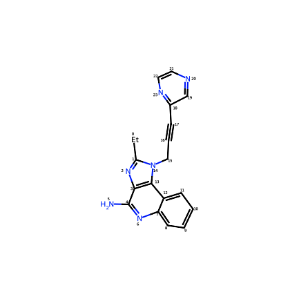 CCc1nc2c(N)nc3ccccc3c2n1CC#Cc1cnccn1